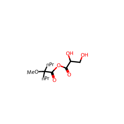 CCCC(CCC)(OC)C(=O)OC(=O)C(O)CO